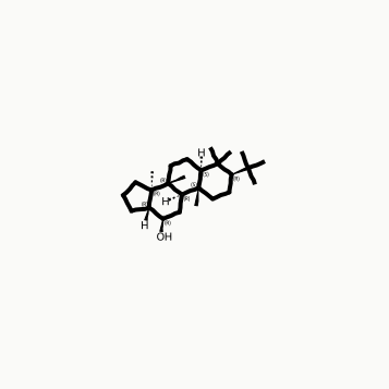 CC(C)(C)[C@H]1CC[C@]2(C)[C@H]3C[C@@H](O)[C@@H]4CCC[C@@]4(C)[C@]3(C)CC[C@H]2C1(C)C